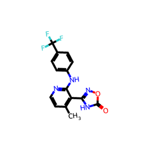 Cc1ccnc(Nc2ccc(C(F)(F)F)cc2)c1-c1noc(=O)[nH]1